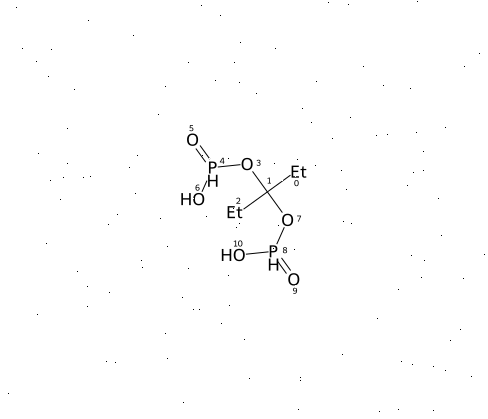 CCC(CC)(O[PH](=O)O)O[PH](=O)O